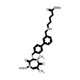 CCCCCCN1C=C(C)C(=O)N(C)[C@@H](Cc2ccc(-c3cccc(CNCCCCC(=O)NC)c3)cc2)C1=O